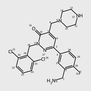 NCc1cc(-c2cc(CN3CCNCC3)c(=O)n(Cc3c(Cl)cccc3Cl)n2)ccc1F